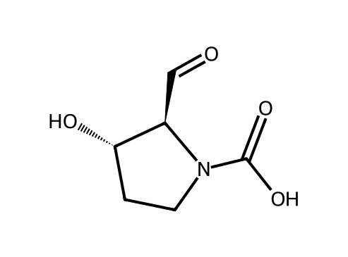 O=C[C@@H]1[C@@H](O)CCN1C(=O)O